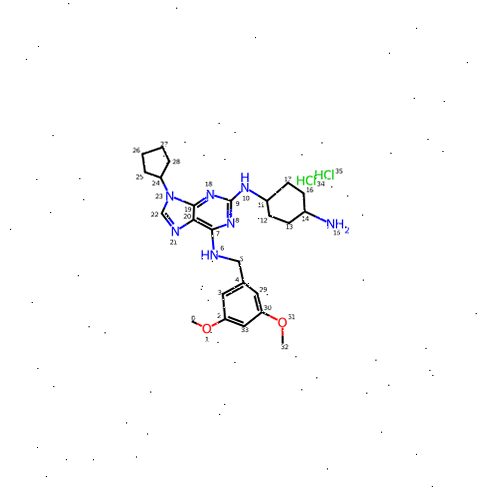 COc1cc(CNc2nc(NC3CCC(N)CC3)nc3c2ncn3C2CCCC2)cc(OC)c1.Cl.Cl